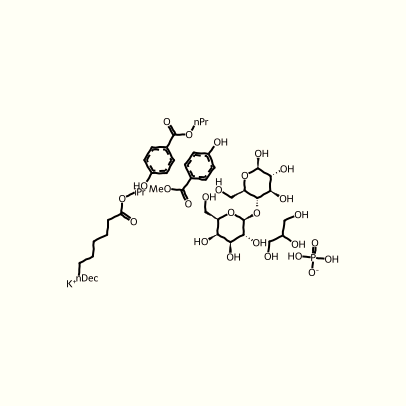 CCCCCCCCCCCCCCCC(=O)OC(C)C.CCCOC(=O)c1ccc(O)cc1.COC(=O)c1ccc(O)cc1.O=P([O-])(O)O.OCC(O)CO.OC[C@H]1O[C@@H](O[C@H]2[C@H](O)[C@@H](O)[C@H](O)O[C@@H]2CO)[C@H](O)[C@@H](O)[C@H]1O.[K+]